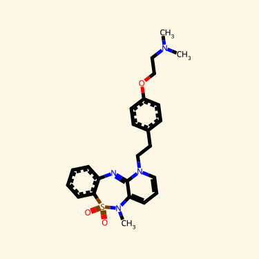 CN(C)CCOc1ccc(CCN2C=CC=C3C2=Nc2ccccc2S(=O)(=O)N3C)cc1